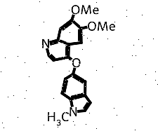 COc1cc2nccc(Oc3ccc4c(ccn4C)c3)c2cc1OC